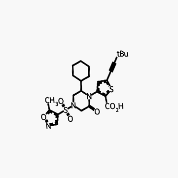 Cc1oncc1S(=O)(=O)N1CC(=O)N(c2cc(C#CC(C)(C)C)sc2C(=O)O)C(C2CCCCC2)C1